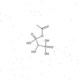 C=C(C)OP(=O)(O)C(O)P(=O)(O)O